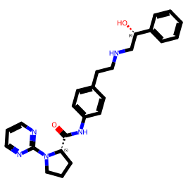 O=C(Nc1ccc(CCNC[C@H](O)c2ccccc2)cc1)[C@@H]1CCCN1c1ncccn1